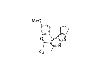 COc1ccc(-c2c(C(=O)C3CC3)c(C)nc3sc4c(c23)CCC4)cc1